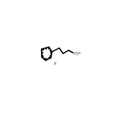 O=C(O)CCCc1ccccc1.[Zr]